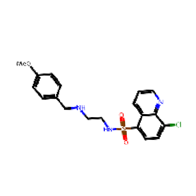 COc1ccc(CNCCNS(=O)(=O)c2ccc(Cl)c3ncccc23)cc1